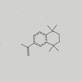 CC(=O)c1ccc2c(c1)[Si](C)(C)CC[Si]2(C)C